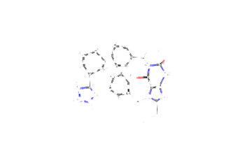 CCc1nc2[nH]c(=O)n(C(C)c3ccccc3)c(=O)c2n1Cc1ccc(-c2ccccc2-c2nnn[nH]2)cc1